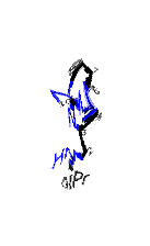 CC(C)NCc1cn2cccnc2n1